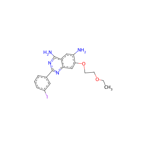 CCOCCOc1cc2nc(-c3cccc(I)c3)nc(N)c2cc1N